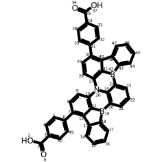 O=C(O)c1ccc(-c2ccc3c4c2-c2ccccc2B4c2cccc4c2N3c2ccc(-c3ccc(C(=O)O)cc3)c3c2B4c2ccccc2-3)cc1